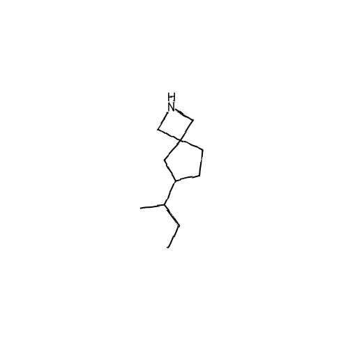 CCC(C)C1CCC2(CNC2)C1